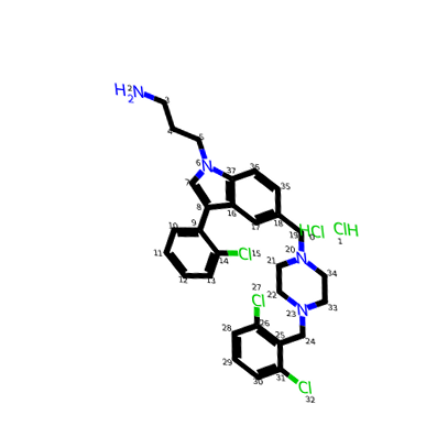 Cl.Cl.NCCCn1cc(-c2ccccc2Cl)c2cc(CN3CCN(Cc4c(Cl)cccc4Cl)CC3)ccc21